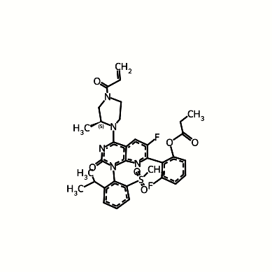 C=CC(=O)N1CCN(c2nc(=O)n(-c3c(C(C)C)cccc3S(C)(=O)=O)c3nc(-c4c(F)cccc4OC(=O)CC)c(F)cc23)[C@@H](C)C1